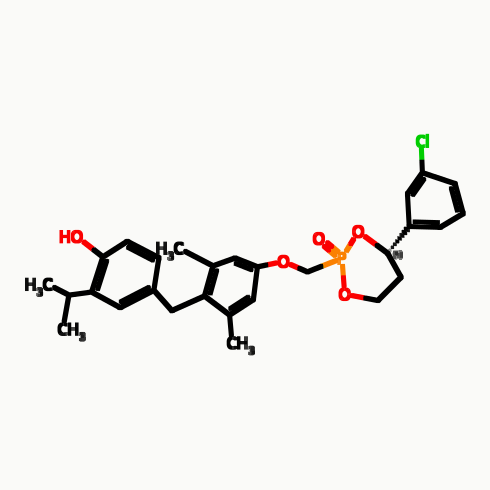 Cc1cc(OCP2(=O)OCC[C@@H](c3cccc(Cl)c3)O2)cc(C)c1Cc1ccc(O)c(C(C)C)c1